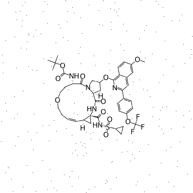 COc1ccc2c(OC3C[C@H]4C(=O)N[C@]5(C(=O)NS(=O)(=O)C6CC6)C[C@H]5/C=C\CCOCC[C@H](NC(=O)OC(C)(C)C)C(=O)N4C3)nc(-c3ccc(OC(F)(F)F)cc3)cc2c1